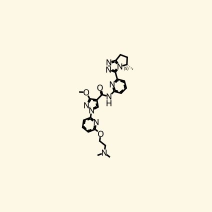 COc1nn(-c2cccc(OCCN(C)C)n2)cc1C(=O)Nc1cccc(-c2nnc3n2[C@@H](C)CC3)n1